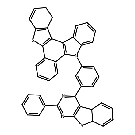 C1=CC2Sc3nc(-c4ccccc4)nc(-c4cccc(-n5c6ccccc6c6c7c8c(sc7c7ccccc7c65)C=CCC8)c4)c3C2C=C1